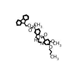 CCCCOc1cc2c(cc1OC)C(=O)N1c3ccc(N(C)C(=O)OCC4c5ccccc5-c5ccccc54)cc3C[C@H]1C=N2